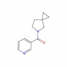 O=C(c1cccnc1)N1CCC2(CC2)C1